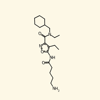 CCc1c(C(=O)N(CC)CC2CCCCC2)noc1NC(=O)CCCCN